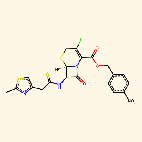 Cc1nc(CC(=S)N[C@@H]2C(=O)N3C(C(=O)OCc4ccc([N+](=O)[O-])cc4)=C(Cl)CS[C@H]23)cs1